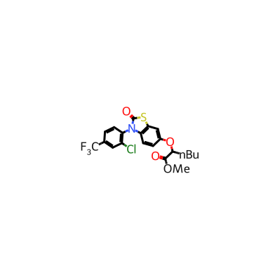 CCCCC(Oc1ccc2c(c1)sc(=O)n2-c1ccc(C(F)(F)F)cc1Cl)C(=O)OC